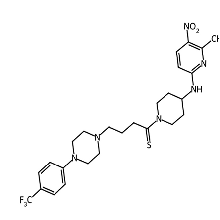 Cc1nc(NC2CCN(C(=S)CCCN3CCN(c4ccc(C(F)(F)F)cc4)CC3)CC2)ccc1[N+](=O)[O-]